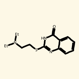 CCN(CC)CCSc1nc2ccccc2c(=O)[nH]1